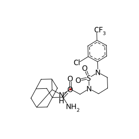 NC(=O)C12CC3CC(C1)C(NC(=O)CN1CCCN(c4ccc(C(F)(F)F)cc4Cl)S1(=O)=O)C(C3)C2